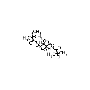 CCC(C)(C)C(=O)CO[C@@H]1CO[C@H]2[C@@H]1OC[C@@H]2OCC(=O)C(C)(C)C